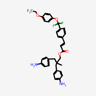 [CH2]C(COC(=O)/C=C/c1ccc(C(F)(F)Oc2ccc(OCC(F)(F)F)cc2)cc1)(Cc1ccc(N)cc1)Cc1ccc(N)cc1